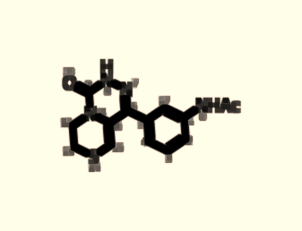 CC(=O)Nc1cccc(C2=NNC(=O)N3CCSC=C23)c1